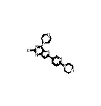 Clc1nc(N2CCOCC2)c2sc(-c3ccc(N4CCOCC4)nc3)cc2n1